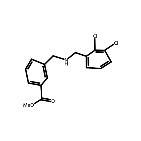 COC(=O)c1cccc(CNCc2cccc(Cl)c2Cl)c1